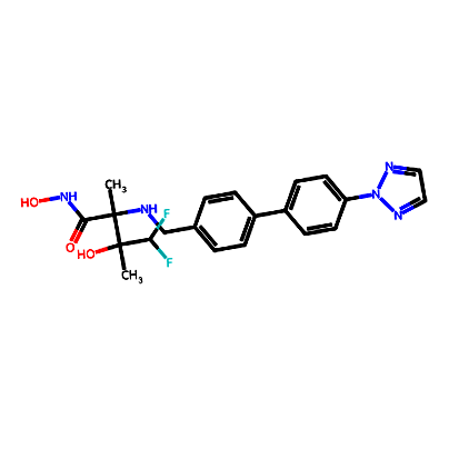 CC(NCc1ccc(-c2ccc(-n3nccn3)cc2)cc1)(C(=O)NO)C(C)(O)C(F)F